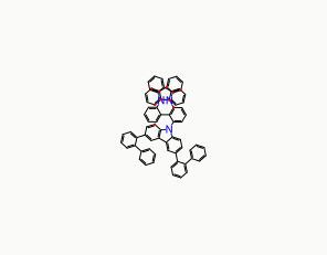 c1ccc(-c2ccccc2-c2ccc3c(c2)c2cc(-c4ccccc4-c4ccccc4)ccc2n3-c2cccc(-n3c4ccccc4c4ccccc43)c2-c2ccccc2-n2c3ccccc3c3ccccc32)cc1